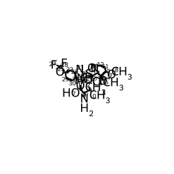 CC(C)[C@H](N)C(=O)O.COc1ccnc(C(O)(Cl)[S+]([O-])c2nc3cc(OC(F)F)ccc3[nH]2)c1OC